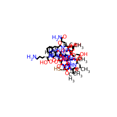 CC[C@H](C)[C@H](NC(=O)[C@H](Cc1ccccc1)NC(=O)[C@H](Cc1ccc(O)cc1)NC(=O)[C@H](CC(=O)O)NC(=O)[C@H](CC(C)C)NC(=O)[C@@H](NC(=O)[C@H](CS)NC(=O)[C@H](CC(C)C)NC(=O)[C@H](CCSC)NC(=O)[C@H](CC(C)C)NC(=O)[C@H](CCC(N)=O)NC(=O)[C@H](Cc1ccccc1)NC(=O)[C@@H](N)CO)C(C)C)C(=O)N[C@@H](CCCCN)C(=O)O